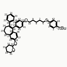 CC(C)(C)c1ccc(SCCCCCOc2ccc(C3=C(c4ccccc4)CCCc4cc(OC5CCCCO5)ccc43)cc2)cc1